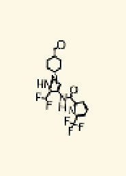 O=C[C@H]1CC[C@H](N2C=C(NC(=O)c3cccc(C(F)(F)F)n3)C(C(F)F)N2)CC1